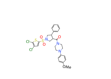 COc1ccc(N2CCN(C(=O)C3CN(S(=O)(=O)c4cc(Cl)c(Cl)s4)CC3c3ccccc3)CC2)cc1